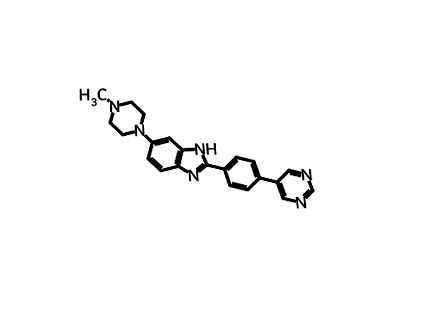 CN1CCN(c2ccc3nc(-c4ccc(-c5cncnc5)cc4)[nH]c3c2)CC1